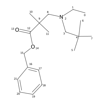 CCN(CC(C)(C)C)CC(C)(C)C(=O)OCc1ccccc1